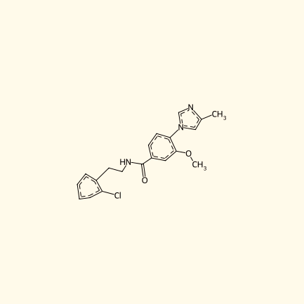 COc1cc(C(=O)NCCc2ccccc2Cl)ccc1-n1cnc(C)c1